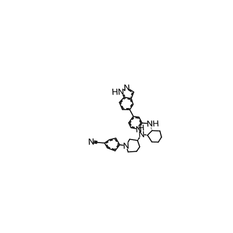 N#Cc1ccc(N2CCC[C@H](N[C@@H]3CCCC[C@H]3Nc3cc(-c4ccc5[nH]ncc5c4)ccn3)C2)cc1